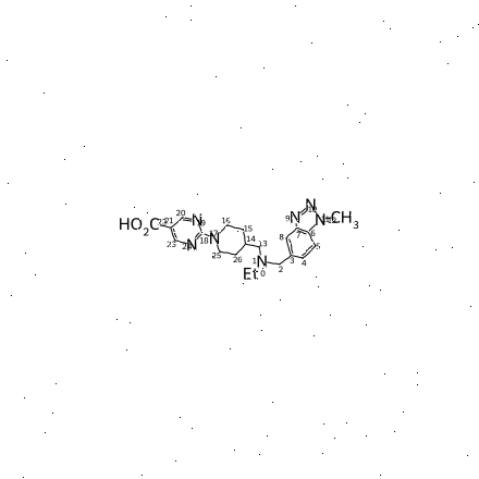 CCN(Cc1ccc2c(c1)nnn2C)CC1CCN(c2ncc(C(=O)O)cn2)CC1